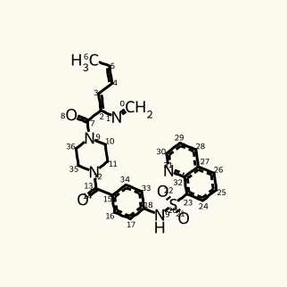 C=N/C(=C\C=C/C)C(=O)N1CCN(C(=O)c2ccc(NS(=O)(=O)c3cccc4cccnc34)cc2)CC1